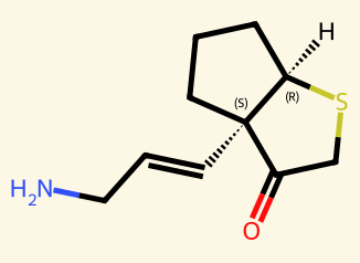 NCC=C[C@]12CCC[C@H]1SCC2=O